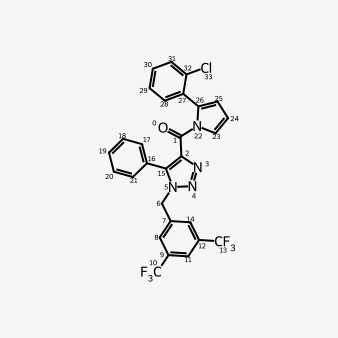 O=C(c1nnn(Cc2cc(C(F)(F)F)cc(C(F)(F)F)c2)c1-c1ccccc1)n1cccc1-c1ccccc1Cl